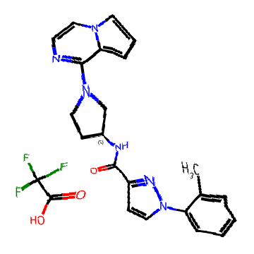 Cc1ccccc1-n1ccc(C(=O)N[C@H]2CCN(c3nccn4cccc34)C2)n1.O=C(O)C(F)(F)F